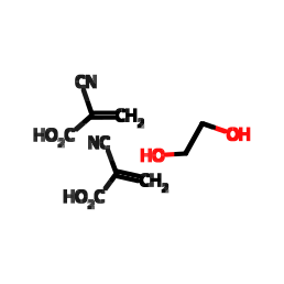 C=C(C#N)C(=O)O.C=C(C#N)C(=O)O.OCCO